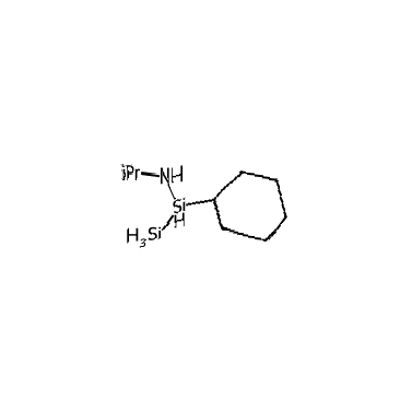 CC(C)N[SiH]([SiH3])C1CCCCC1